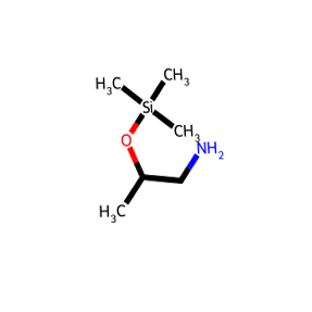 CC(CN)O[Si](C)(C)C